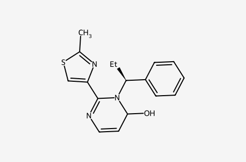 CC[C@@H](c1ccccc1)N1C(c2csc(C)n2)=NC=CC1O